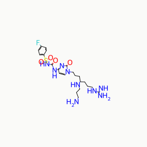 N=C(N)NCCCC(CCCn1ccc(NC(=O)NS(=O)(=O)c2ccc(F)cc2)nc1=O)NCCCN